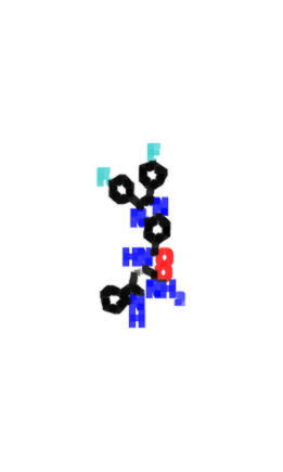 NC(=O)[C@H](Cc1c[nH]c2ccccc12)NC(=O)c1ccc2nc(-c3ccc(F)cc3)c(-c3ccc(F)cc3)nc2c1